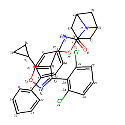 O=C(Nc1ccc(-c2ccccc2)cc1)N1C2CC(OCc3c(-c4c(Cl)cccc4Cl)noc3C3CC3)CC1C2